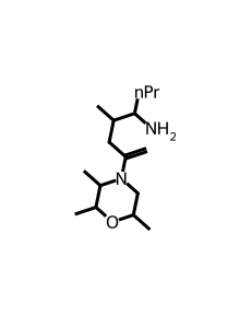 C=C(CC(C)C(N)CCC)N1CC(C)OC(C)C1C